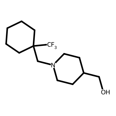 OCC1CCN(CC2(C(F)(F)F)CCCCC2)CC1